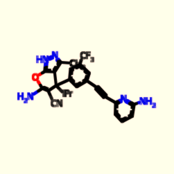 Cc1n[nH]c2c1C(c1cc(C#Cc3cccc(N)n3)cc(C(F)(F)F)c1)(C(C)C)C(C#N)=C(N)O2